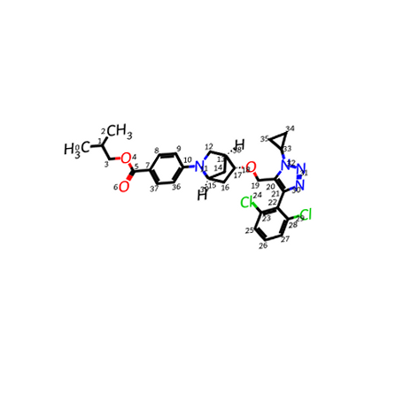 CC(C)COC(=O)c1ccc(N2C[C@@H]3C[C@H]2C[C@H]3OCc2c(-c3c(Cl)cccc3Cl)nnn2C2CC2)cc1